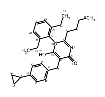 CCCCc1nc(=O)c(Cc2ccc(C3CC3)cc2)c(O)n1-c1c(CC)cccc1CC